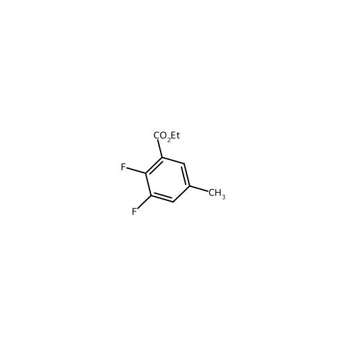 CCOC(=O)c1cc(C)cc(F)c1F